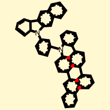 C1=CC2c3cc4ccccc4cc3N(c3cccc(N(c4ccc(-c5ccc6ccccc6c5)cc4)c4ccccc4-c4ccc(-c5ccccc5)cc4)c3)C2C=C1